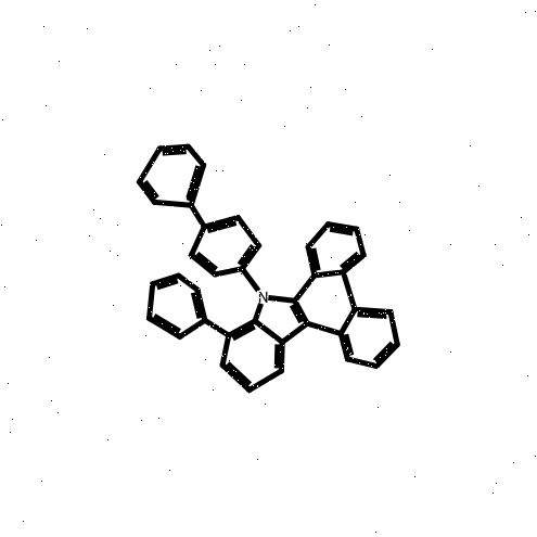 c1ccc(-c2ccc(-n3c4c(-c5ccccc5)cccc4c4c5ccccc5c5ccccc5c43)cc2)cc1